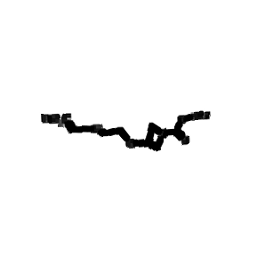 CCOC(=O)COCCOC1CN(C(=O)OC(C)(C)C)C1